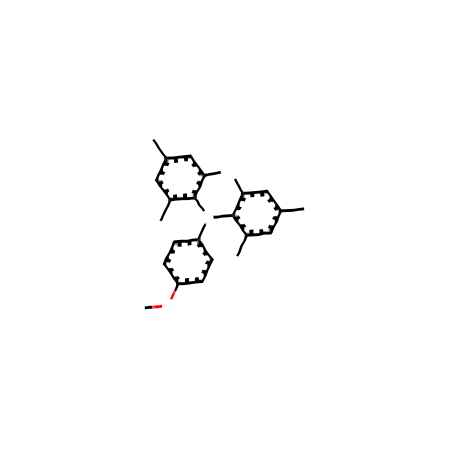 COc1ccc(B(c2c(C)cc(C)cc2C)c2c(C)cc(C)cc2C)cc1